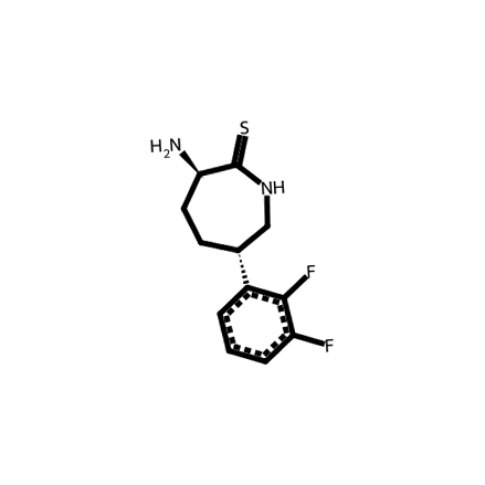 N[C@@H]1CC[C@@H](c2cccc(F)c2F)CNC1=S